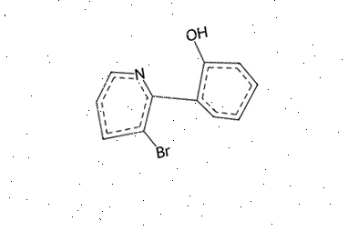 Oc1ccccc1-c1ncccc1Br